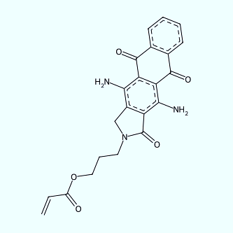 C=CC(=O)OCCCN1Cc2c(N)c3c(c(N)c2C1=O)C(=O)c1ccccc1C3=O